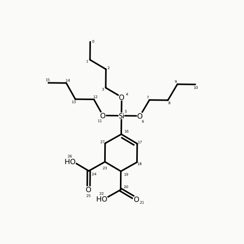 CCCCO[Si](OCCCC)(OCCCC)C1=CCC(C(=O)O)C(C(=O)O)C1